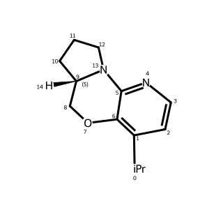 CC(C)c1ccnc2c1OC[C@@H]1CCCN21